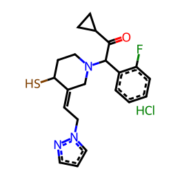 Cl.O=C(C1CC1)C(c1ccccc1F)N1CCC(S)C(=CCn2cccn2)C1